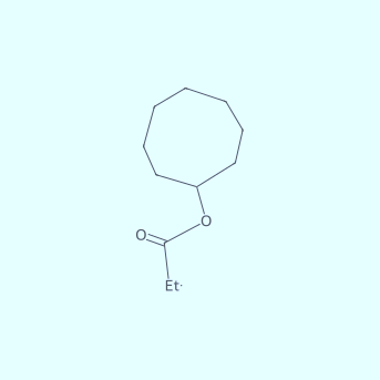 C[CH]C(=O)OC1CCCCCCC1